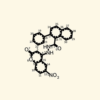 O=C(NNc1cc(=O)oc2ccc([N+](=O)[O-])cc12)c1c(-c2ccccc2)ccc2ccccc12